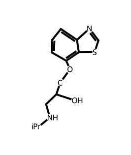 CC(C)NCC(O)COc1cccc2ncsc12